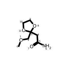 COCC1(CC(N)=O)OCCO1